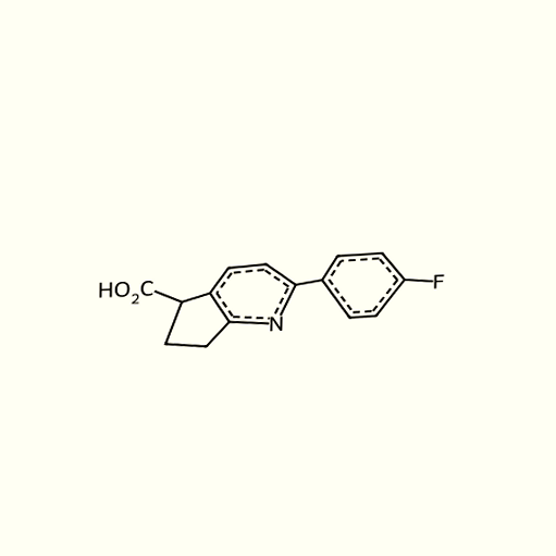 O=C(O)C1CCc2nc(-c3ccc(F)cc3)ccc21